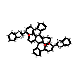 c1ccc(-c2c3ccccc3c(-c3ccccc3-c3ccc(-c4nc5ccccc5s4)cc3)c3ccccc23)c(-c2ccc(-c3nc4ccccc4s3)cc2)c1